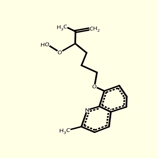 C=C(C)C(CCCOc1cccc2ccc(C)nc12)OO